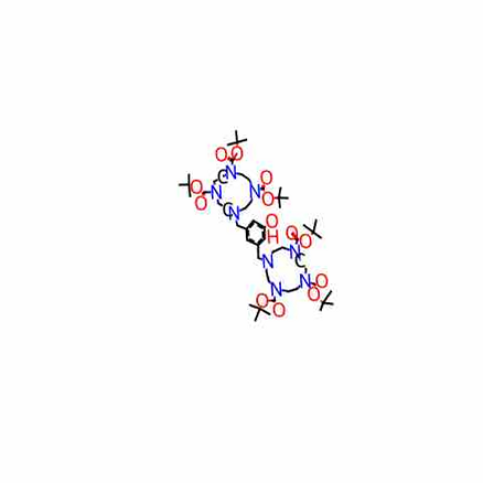 CC(C)(C)OC(=O)N1CCN(Cc2cc(O)cc(CN3CCN(C(=O)OC(C)(C)C)CCN(C(=O)OC(C)(C)C)CCN(C(=O)OC(C)(C)C)CC3)c2)CCN(C(=O)OC(C)(C)C)CCN(C(=O)OC(C)(C)C)CC1